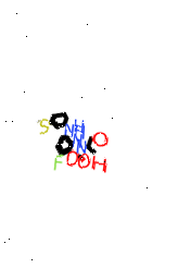 CSc1cccc(Nc2ccc(F)cc2NN(C(=O)O)C(C)C=O)c1